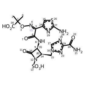 CC(C)(O/N=C(\C(=O)N[C@@H]1C(=O)N(S(=O)(=O)O)[C@@H]1Cn1cnc(C(N)=O)n1)c1csc(N)n1)C(=O)O